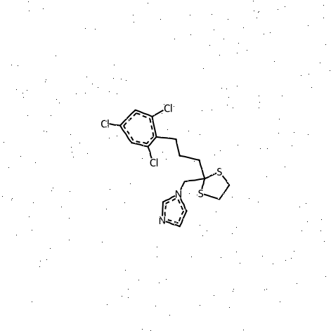 Clc1cc(Cl)c(CCCC2(Cn3ccnc3)SCCS2)c(Cl)c1